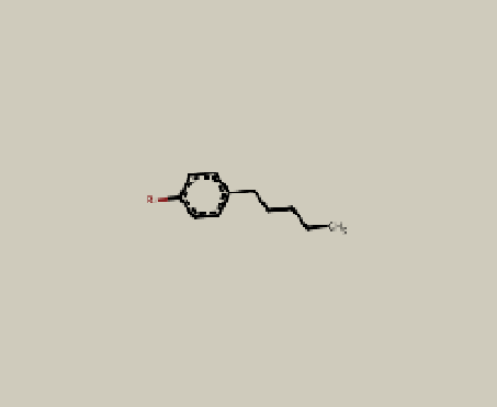 [CH2]CCCCc1ccc(Br)cc1